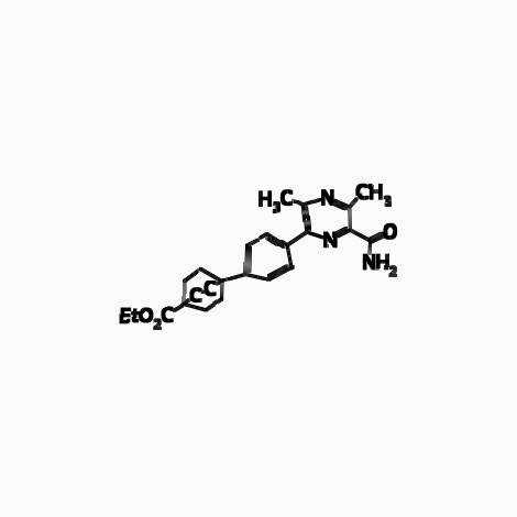 CCOC(=O)C12CCC(c3ccc(-c4nc(C(N)=O)c(C)nc4C)cc3)(CC1)CC2